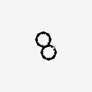 c1cccc2ncccccc=2cc1